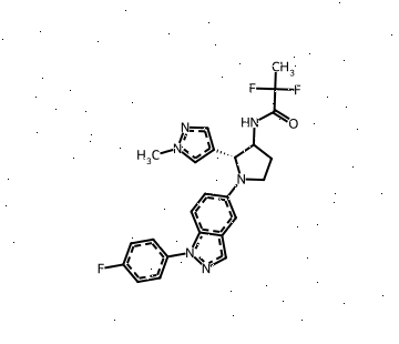 Cn1cc([C@@H]2C(NC(=O)C(C)(F)F)CCN2c2ccc3c(cnn3-c3ccc(F)cc3)c2)cn1